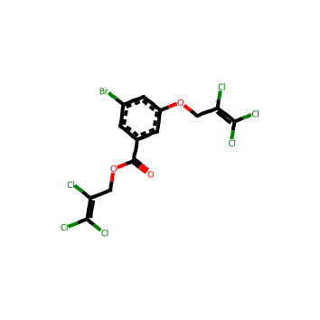 O=C(OCC(Cl)=C(Cl)Cl)c1cc(Br)cc(OCC(Cl)=C(Cl)Cl)c1